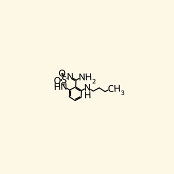 CCCCNc1cccc2c1C(N)=NS(=O)(=O)N2